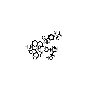 CC(C)S(=O)(=O)c1ccc(C(=O)N[C@H](CC2CCCCC2)C(=O)N2C[C@@H](n3nncc3C(C)(C)O)C[C@H]2C(=O)NC2(C(=O)C(N)=O)CCOCC2)cc1